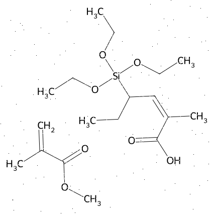 C=C(C)C(=O)OC.CCO[Si](OCC)(OCC)C(C=C(C)C(=O)O)CC